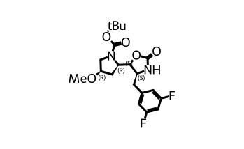 CO[C@@H]1C[C@H]([C@H]2OC(=O)N[C@H]2Cc2cc(F)cc(F)c2)N(C(=O)OC(C)(C)C)C1